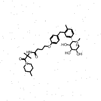 Cc1ccc([C@H]2[C@H](O)[C@H](O)[C@H](O)C[SH]2C)cc1Cc1ccc(OCCCC(=O)NC(C)(C)C(=O)N2CCC(C)CC2)cc1